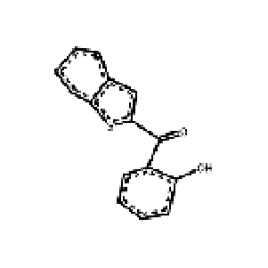 O=C(c1cc2ccccc2s1)c1ccccc1O